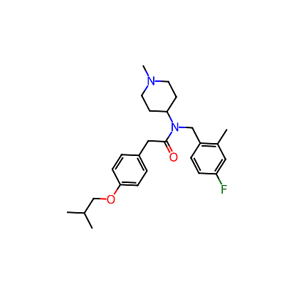 Cc1cc(F)ccc1CN(C(=O)Cc1ccc(OCC(C)C)cc1)C1CCN(C)CC1